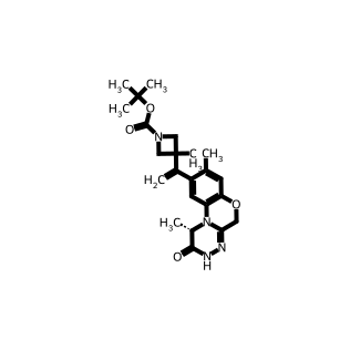 C=C(c1cc2c(cc1C)OCC1=NNC(=O)[C@H](C)N12)C1(C)CN(C(=O)OC(C)(C)C)C1